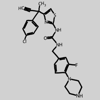 C#CC(C)(c1ccc(Cl)cc1)c1csc(NC(=O)NCc2ccc(N3CCNCC3)c(F)c2)n1